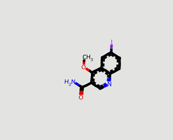 COc1c(C(N)=O)cnc2ccc(I)cc12